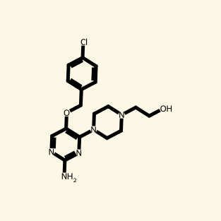 Nc1ncc(OCc2ccc(Cl)cc2)c(N2CCN(CCO)CC2)n1